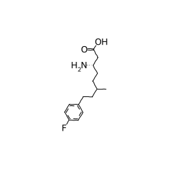 CC(CCc1ccc(F)cc1)CC[C@H](N)CC(=O)O